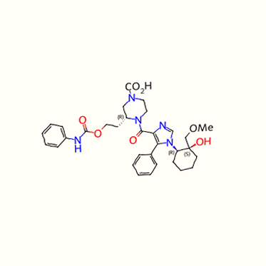 COC[C@]1(O)CCCC[C@H]1n1cnc(C(=O)N2CCN(C(=O)O)C[C@H]2CCOC(=O)Nc2ccccc2)c1-c1ccccc1